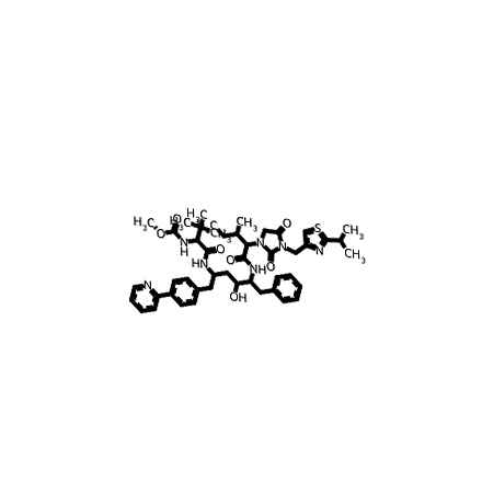 CCC(C)C(C(=O)NC(Cc1ccccc1)C(O)CC(Cc1ccc(-c2ccccn2)cc1)NC(=O)C(NC(=O)OC)C(C)(C)C)N1CC(=O)N(Cc2csc(C(C)C)n2)C1=O